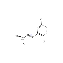 CC(C)(C)[S@+]([O-])/N=C/c1cc(Cl)ccc1Cl